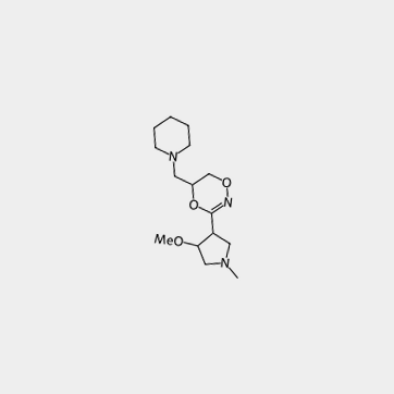 COC1CN(C)CC1C1=NOCC(CN2CCCCC2)O1